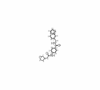 O=C(CC1CCOC1)Nc1ccc(C(=O)NCc2ccn3ccnc3c2)cc1